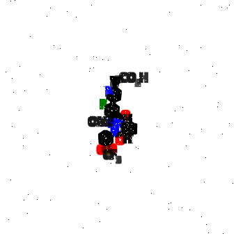 COc1cc(F)c(-c2ccc([C@@H]3C[C@H]3C(=O)O)nc2)cc1C(=O)N[C@@H]1[C@H]2CC[C@H](C2)[C@@H]1C(=O)Nc1cccc(S(=O)(=O)C(F)(F)F)c1